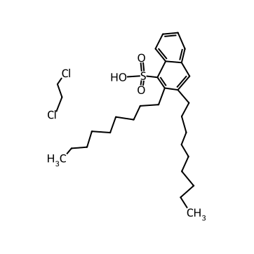 CCCCCCCCCc1cc2ccccc2c(S(=O)(=O)O)c1CCCCCCCCC.ClCCCl